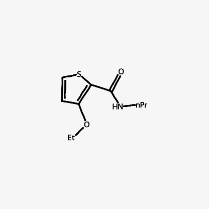 CCCNC(=O)c1sccc1OCC